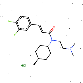 CN(C)CCN(C(=O)C=Cc1ccc(F)c(F)c1)[C@H]1CC[C@H](C)CC1.Cl